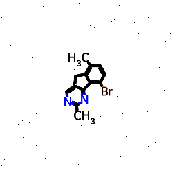 Cc1ncc2c(n1)-c1c(Br)ccc(C)c1C2